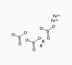 O=[Si]([O-])[O-].O=[Si]([O-])[O-].O=[Si]([O-])[O-].[B].[B].[Fe+3].[Fe+3]